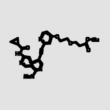 CNc1ncc(C#Cc2cc(OCCOCCC(=O)OC(C)(C)C)ccn2)c2cc(NC(=O)C3CC3)ncc12